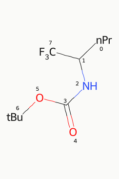 [CH2]CCC(NC(=O)OC(C)(C)C)C(F)(F)F